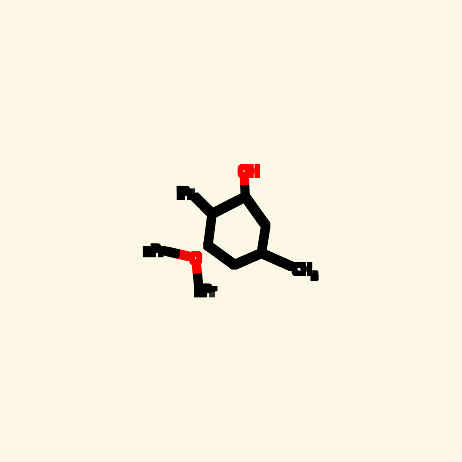 CC1CCC(C(C)C)C(O)C1.CCCOCCC